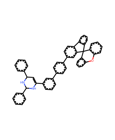 C1=C(c2cccc(-c3ccc(-c4ccc5c(c4)C4(c6ccccc6Oc6ccccc64)c4ccccc4-5)cc3)c2)NC(c2ccccc2)NC1c1ccccc1